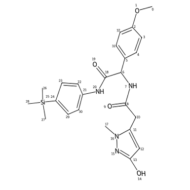 COc1ccc(C(NC(=O)Cc2cc(O)nn2C)C(=O)Nc2ccc([Si](C)(C)C)cc2)cc1